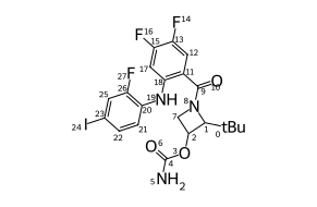 CC(C)(C)C1C(OC(N)=O)CN1C(=O)c1cc(F)c(F)cc1Nc1ccc(I)cc1F